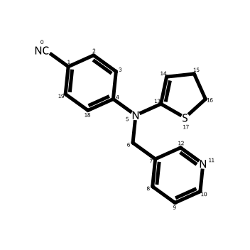 N#Cc1ccc(N(Cc2cccnc2)C2=CCCS2)cc1